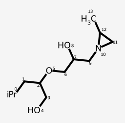 CC(C)CC(CO)OCC(O)CN1CC1C